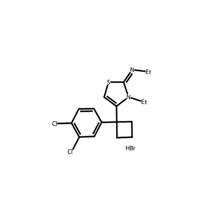 Br.CCN=c1scc(C2(c3ccc(Cl)c(Cl)c3)CCC2)n1CC